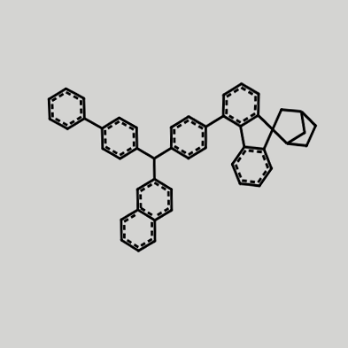 c1ccc(-c2ccc(C(c3ccc(-c4cccc5c4-c4ccccc4C54CC5CCC4C5)cc3)c3ccc4ccccc4c3)cc2)cc1